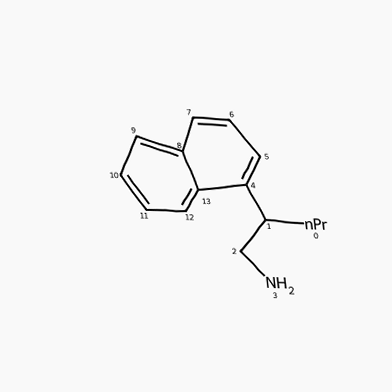 CCCC(CN)c1cccc2ccccc12